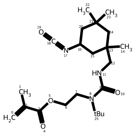 C=C(C)C(=O)OCCN(C(=O)NCC1(C)CC(N=C=O)CC(C)(C)C1)C(C)(C)C